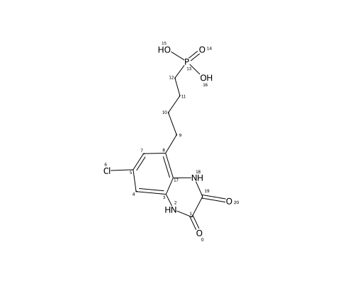 O=c1[nH]c2cc(Cl)cc(CCCCP(=O)(O)O)c2[nH]c1=O